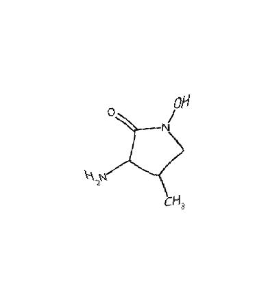 CC1CN(O)C(=O)C1N